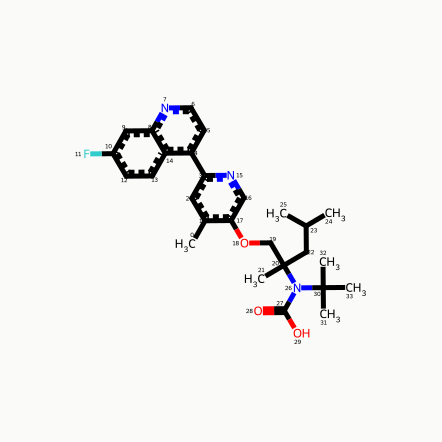 Cc1cc(-c2ccnc3cc(F)ccc23)ncc1OCC(C)(CC(C)C)N(C(=O)O)C(C)(C)C